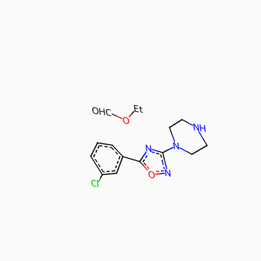 CCOC=O.Clc1cccc(-c2nc(N3CCNCC3)no2)c1